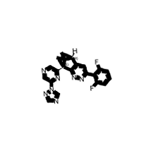 CC1(C)[C@H]2CC[C@]1(c1cncc(-n3cncn3)n1)c1nnc(-c3c(F)cccc3F)cc12